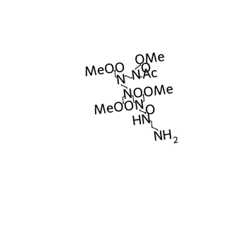 COC(=O)CN(CCN(CCN(CC(=O)NCCCN)CC(=O)OC)CC(=O)OC)CCN(CC(C)=O)CC(=O)OC